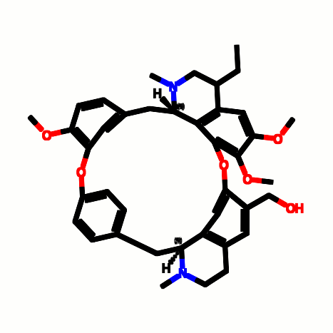 CCC1CN(C)[C@H]2Cc3ccc(OC)c(c3)Oc3ccc(cc3)C[C@H]3c4cc(c(CO)cc4CCN3C)Oc3c(OC)c(OC)cc1c32